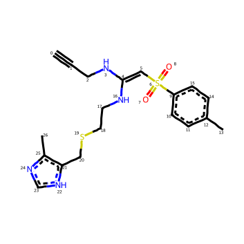 C#CCN/C(=C/S(=O)(=O)c1ccc(C)cc1)NCCSCc1[nH]cnc1C